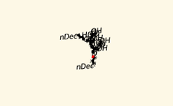 CCCCCCCCCCCCCCOCC(CO)(COCC(CO)(COCCCCCCCCCCCCCC)COP(=O)(O)O)COP(=O)(O)O